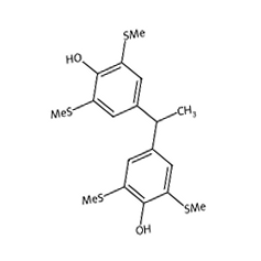 CSc1cc(C(C)c2cc(SC)c(O)c(SC)c2)cc(SC)c1O